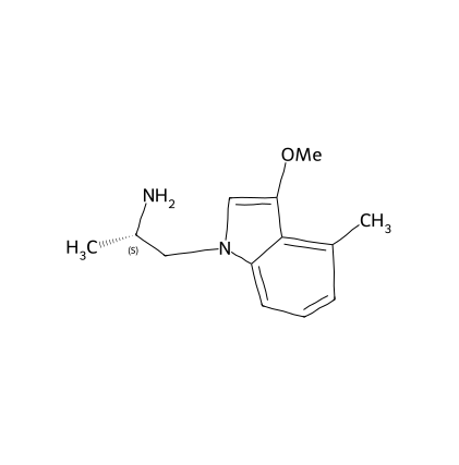 COc1cn(C[C@H](C)N)c2cccc(C)c12